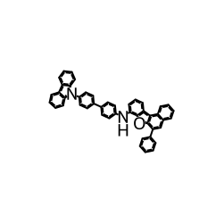 c1ccc(-c2cc3ccccc3c3c2oc2c(Nc4ccc(-c5ccc(-n6c7ccccc7c7ccccc76)cc5)cc4)cccc23)cc1